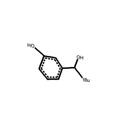 CC(C)(C)C(O)c1cccc(O)c1